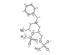 CS(=O)(=O)OCC(CN(CCC#N)Cc1ccccc1)OS(C)(=O)=O